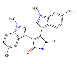 Cn1cc(C2=C(c3cn(C)c4cc([N+](=O)[O-])ccc34)C(=O)NC2=O)c2cc(C#N)ccc21